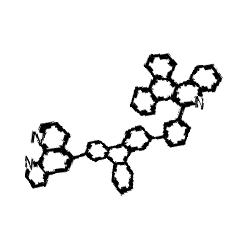 c1cc(-c2ccc3c4ccc(-c5cc6cccnc6c6ncccc56)cc4c4ccccc4c3c2)cc(-c2nc3ccccc3c3c4ccccc4c4ccccc4c23)c1